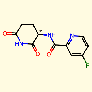 O=C1CC[C@@H](NC(=O)c2cc(F)ccn2)C(=O)N1